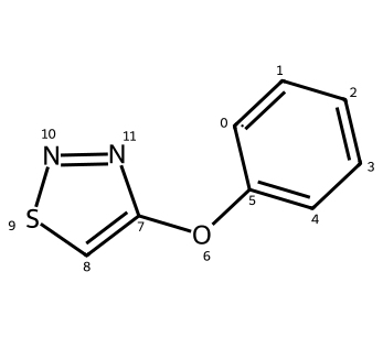 [c]1ccccc1Oc1csnn1